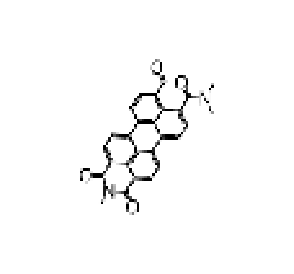 CN(C)C(=O)c1ccc2c3ccc4c5c(ccc(c6ccc(C=O)c1c62)c53)C(=O)N(C)C4=O